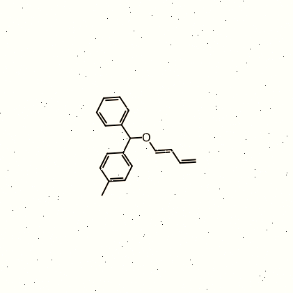 C=CC=COC(c1ccccc1)c1ccc(C)cc1